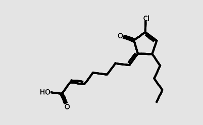 CCCCC1C=C(Cl)C(=O)C1=CCCCC=CC(=O)O